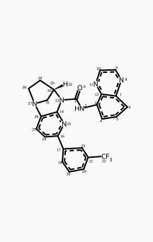 O=C(Nc1cccc2nccnc12)N1c2nc(-c3cccc(C(F)(F)F)c3)ccc2N2CC[C@H]1C2